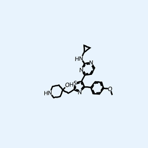 COc1ccc(-c2nc(CC3(O)CCNCC3)sc2-c2ccnc(NC3CC3)n2)cc1